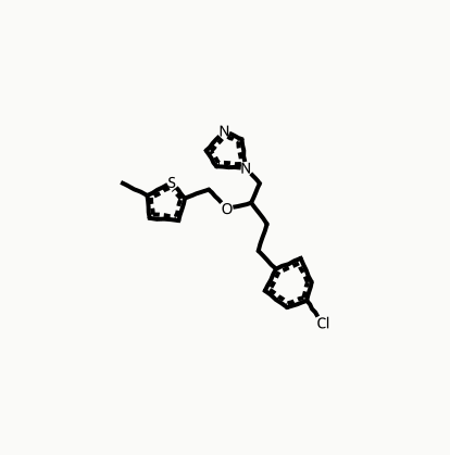 Cc1ccc(COC(CCc2ccc(Cl)cc2)Cn2ccnc2)s1